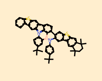 CC(C)(C)c1ccc(N2B3c4cc(C(C)(C)C)ccc4-n4c5cc6c(cc5c5ccc(c3c54)-c3cc4sc5cc7c(cc5c4cc32)C(C)(C)CCC7(C)C)sc2ccccc26)cc1